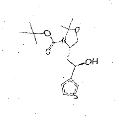 CC(C)(C)OC(=O)N1[C@@H](C[C@@H](O)c2ccsc2)COC1(C)C